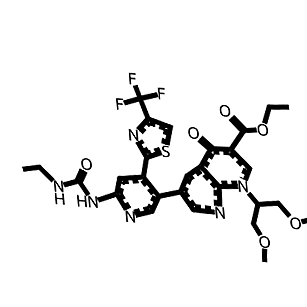 CCNC(=O)Nc1cc(-c2nc(C(F)(F)F)cs2)c(-c2cnc3c(c2)c(=O)c(C(=O)OCC)cn3C(COC)COC)cn1